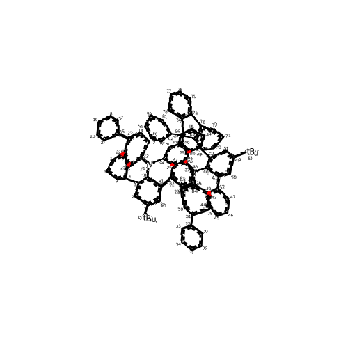 CC(C)(C)c1cc(-c2ccccc2)c(N(c2ccc(-c3ccccc3)cc2)c2cc(N(c3ccc(-c4ccccc4)cc3)c3c(-c4ccccc4)cc(C(C)(C)C)cc3-c3ccccc3)cc(C3(c4ccccc4)c4ccccc4-c4ccccc43)c2)c(-c2ccccc2)c1